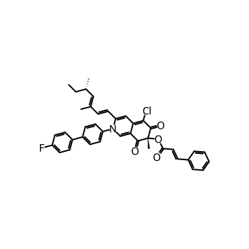 CC[C@H](C)/C=C(C)/C=C/C1=CC2=C(Cl)C(=O)[C@](C)(OC(=O)C=Cc3ccccc3)C(=O)C2=CN1c1ccc(-c2ccc(F)cc2)cc1